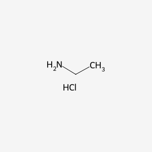 CCN.Cl